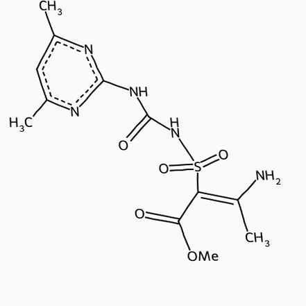 COC(=O)C(=C(C)N)S(=O)(=O)NC(=O)Nc1nc(C)cc(C)n1